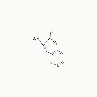 CCC(=O)C(=Cc1cccnc1)[N+](=O)[O-]